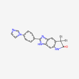 CCC1(CC)C(=O)Nc2cc3[nH]c(-c4ccc(-n5ccnc5)cc4)nc3cc21